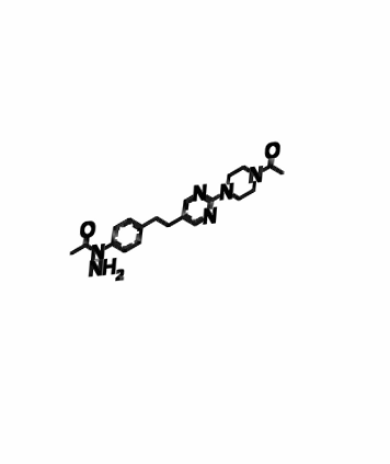 CC(=O)N1CCN(c2ncc(CCc3ccc(N(N)C(C)=O)cc3)cn2)CC1